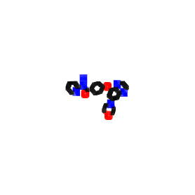 O=C(Nc1ccccn1)[C@H]1CC[C@@H](Oc2cc(N3CCOCC3)cc3nccnc23)CC1